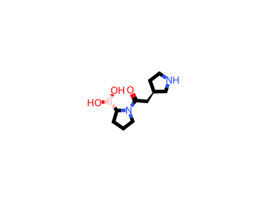 O=C(C[C@H]1CCNC1)N1CCCC1B(O)O